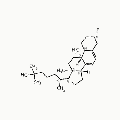 C[C@H](CCCC(C)(C)O)[C@H]1CC[C@H]2C3=CC=C4C[C@@H](F)CC[C@]4(C)[C@H]3CC[C@]12C